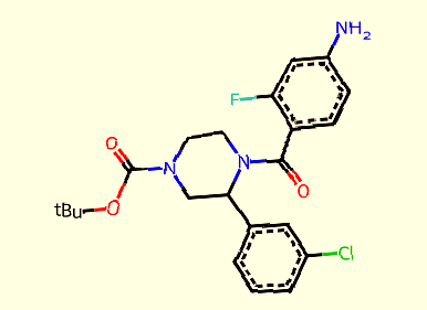 CC(C)(C)OC(=O)N1CCN(C(=O)c2ccc(N)cc2F)C(c2cccc(Cl)c2)C1